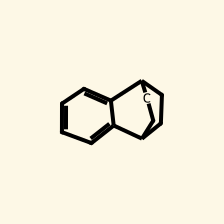 c1ccc2c(c1)C1CCC2CC1